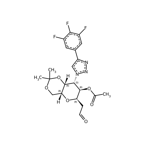 CC(=O)O[C@@H]1[C@@H](n2cc(-c3cc(F)c(F)c(F)c3)nn2)[C@H]2OC(C)(C)OC[C@H]2O[C@@H]1CC=O